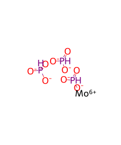 O=[PH]([O-])[O-].O=[PH]([O-])[O-].O=[PH]([O-])[O-].[Mo+6]